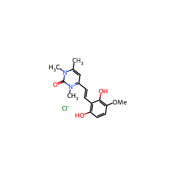 COc1ccc(O)c(C=Cc2cc(C)n(C)c(=O)[n+]2C)c1O.[Cl-]